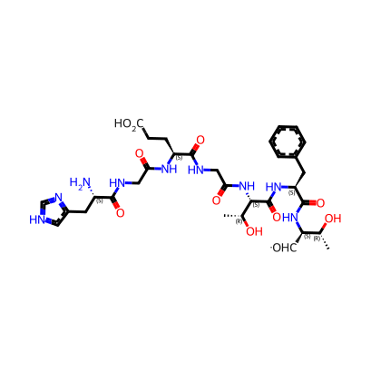 C[C@@H](O)[C@H](NC(=O)CNC(=O)[C@H](CCC(=O)O)NC(=O)CNC(=O)[C@@H](N)Cc1c[nH]cn1)C(=O)N[C@@H](Cc1ccccc1)C(=O)N[C@H]([C]=O)[C@@H](C)O